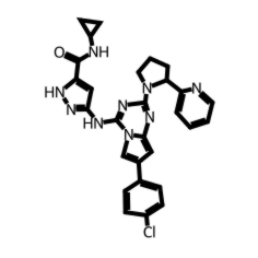 O=C(NC1CC1)c1cc(Nc2nc(N3CCCC3c3ccccn3)nc3cc(-c4ccc(Cl)cc4)cn23)n[nH]1